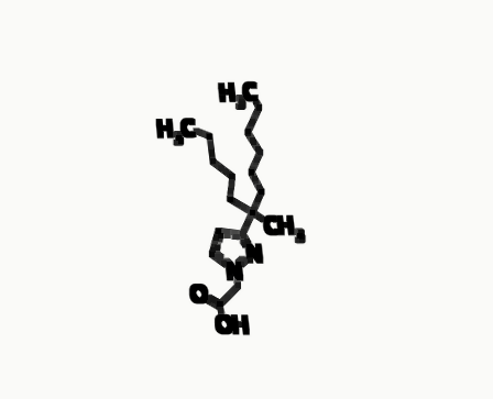 CCCCCCC(C)(CCCCC)c1ccn(CC(=O)O)n1